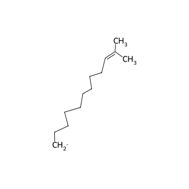 [CH2]CCCCCCCCC=C(C)C